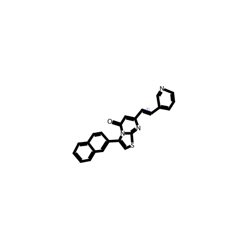 O=c1cc(/C=C/c2cccnc2)nc2scc(-c3ccc4ccccc4c3)n12